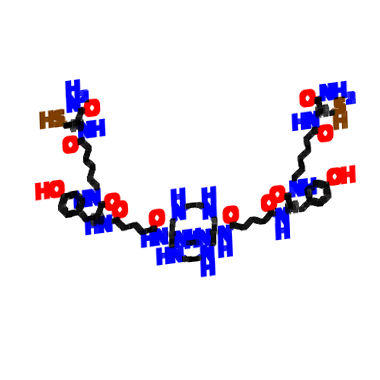 NC(=O)[C@H](CS)NC(=O)CCCCCNC(=O)[C@H](Cc1ccc(O)cc1)NC(=O)CCCC(=O)N[C@]12CNCCNC[C@](NC(=O)CCCC(=O)N[C@@H](Cc3ccc(O)cc3)C(=O)NCCCCCC(=O)N[C@@H](CS)C(N)=O)(CNCCNC1)NCCN2